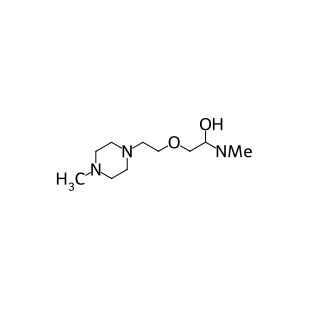 CNC(O)COCCN1CCN(C)CC1